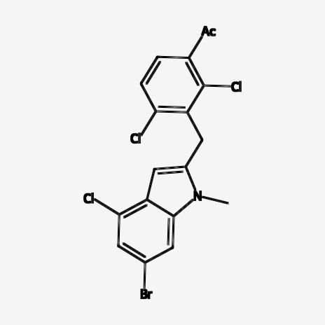 CC(=O)c1ccc(Cl)c(Cc2cc3c(Cl)cc(Br)cc3n2C)c1Cl